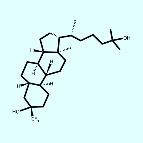 C[C@H](CCCC(C)(C)O)[C@H]1CC[C@H]2[C@@H]3CC[C@H]4C[C@](O)(C(F)(F)F)CC[C@@H]4[C@H]3CC[C@]12C